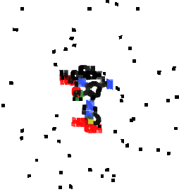 CC(C)(C)N(C(=O)O)c1cc(C#N)cc(N2CCN3C(CCS3(O)O)C2)c1Cl